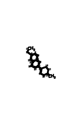 CCc1ccc2cc(C3=CCC(C)CC3)ccc2c1